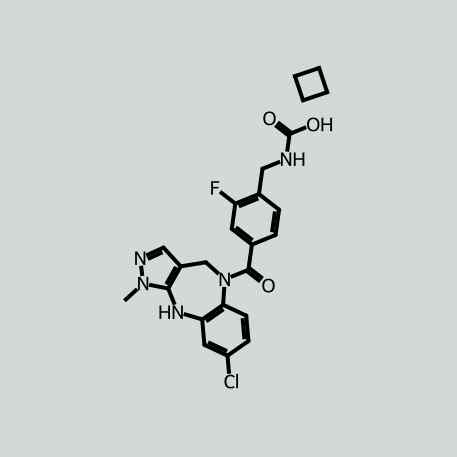 C1CCC1.Cn1ncc2c1Nc1cc(Cl)ccc1N(C(=O)c1ccc(CNC(=O)O)c(F)c1)C2